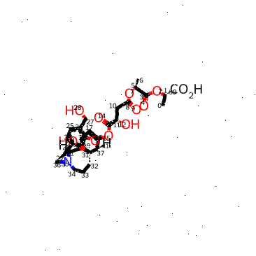 C[C@H](OC(=O)[C@H](C)OC(=O)C[C@H](O)C(=O)OC1=CC[C@@]2(O)[C@H]3Cc4ccc(CO)c5c4[C@@]2(CCCN3C)[C@H]1O5)C(=O)O